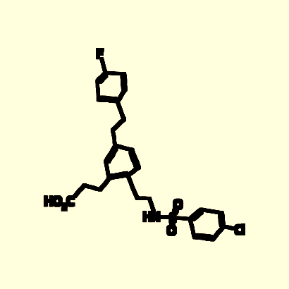 O=C(O)CCc1cc(CCc2ccc(F)cc2)ccc1CCNS(=O)(=O)c1ccc(Cl)cc1